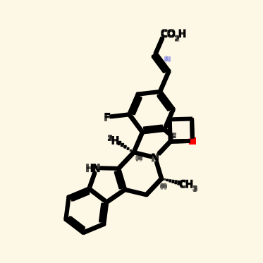 [2H][C@@]1(c2c(F)cc(/C=C/C(=O)O)cc2F)c2[nH]c3ccccc3c2C[C@@H](C)N1C12CC(C1)C2